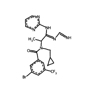 CC(/C(=N/C=N)Nc1ncccn1)N(CC1CC1)C(=O)c1cc(Br)cc(C(F)(F)F)c1